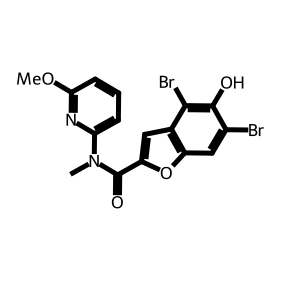 COc1cccc(N(C)C(=O)c2cc3c(Br)c(O)c(Br)cc3o2)n1